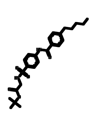 CCCCCc1ccc(C(=O)Nc2ccc(S(=O)(=O)NCC(=O)OC(C)(C)C)cc2)cc1